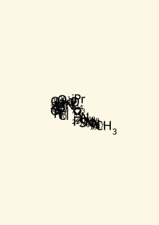 CC(C)C[C@H](NC(=O)c1ccc(-c2nc(N3CCN(C)CC3)sc2F)cc1)C(=O)C1C[C@@H](Cl)[C@H]2OCC(=O)[C@@H]12